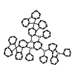 c1ccc(N2c3cc(N(c4ccccc4)c4cccc5c4c4ccccc4n5-c4ccccc4)cc4c3B(c3ccc5c(c32)-c2ccccc2C52c3ccccc3-c3ccccc32)c2ccc3c(c2N4c2ccccc2)-c2ccccc2C32c3ccccc3-c3ccccc32)cc1